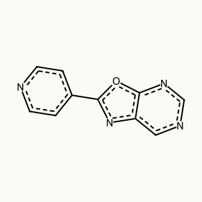 c1cc(-c2nc3cncnc3o2)ccn1